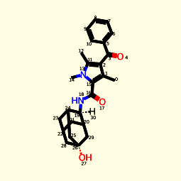 Cc1c(C(=O)c2ccccc2)c(C)n(C)c1C(=O)N[C@H]1C2CC3CC1C[C@](O)(C3)C2